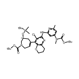 Cc1cc(N(C)C(=O)OC(C)(C)C)cc(Nc2nc3c(c(C4=CCN(C(=O)OC(C)(C)C)C[C@@H](O[Si](C)(C)C(C)(C)C)C4)c2Cl)OCCC3)n1